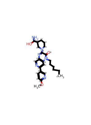 CCCCCCn1c(=O)c(N2CCCC(C(N)O)C2)nc2cnc(-c3ccc(OC)nc3)cc21